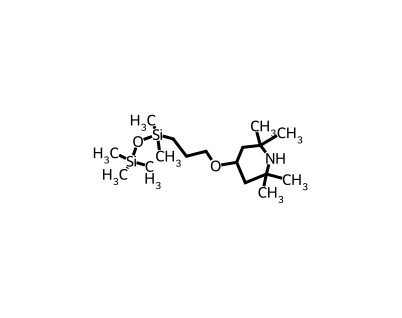 CC1(C)CC(OCCC[Si](C)(C)O[Si](C)(C)C)CC(C)(C)N1